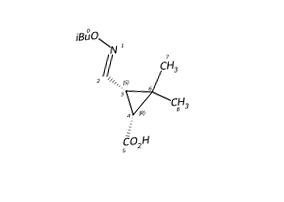 CC(C)CON=C[C@H]1[C@@H](C(=O)O)C1(C)C